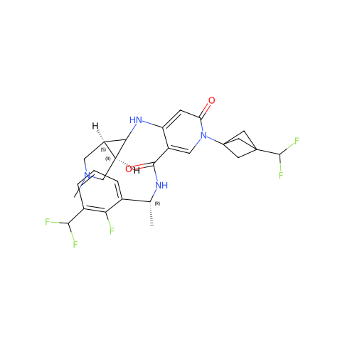 C[C@@H](NC(=O)c1cn(C23CC(C(F)F)(C2)C3)c(=O)cc1NC1[C@H]2CN(C)C[C@@H]12)c1cccc(C(F)F)c1F